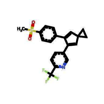 CS(=O)(=O)c1ccc(C2=CC3(C=C2c2ccc(C(F)(F)F)nc2)CC3)cc1